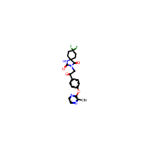 N#Cc1nccnc1Oc1ccc(C(=O)CN2C(=O)NC3(CCC(F)(F)CC3)C2=O)cc1